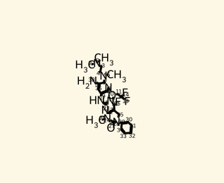 CN(C)CCN(C)c1nc(OCC(F)(F)F)c(Nc2ncc3c(n2)N(C)C(=O)N(c2ccccc2)C3)cc1N